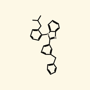 CC(C)Cc1ccccc1-n1c(-c2cccc(Cc3ccccc3)c2)nc2ccccc21